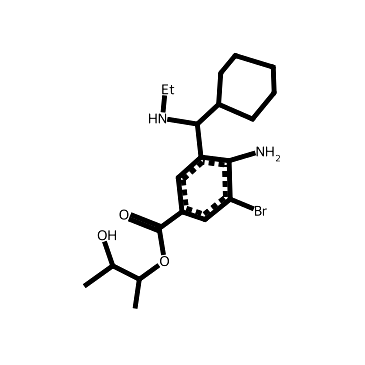 CCNC(c1cc(C(=O)OC(C)C(C)O)cc(Br)c1N)C1CCCCC1